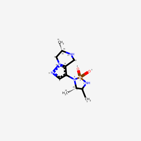 CC1NS(=O)(=O)N(c2cnn3c2CN[C@@H](C)C3)[C@H]1C